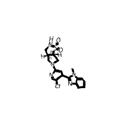 Cn1c(-c2cc(N3C[C@@H]4CNS(=O)(=O)[C@@H]4C3)ncc2Cl)nc2ccccc21